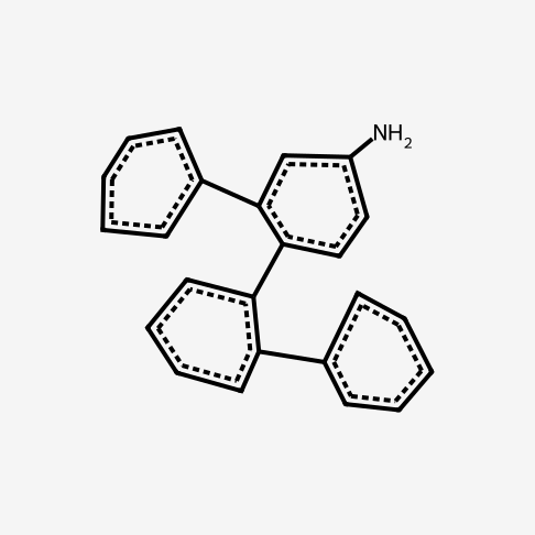 Nc1ccc(-c2ccccc2-c2ccccc2)c(-c2ccccc2)c1